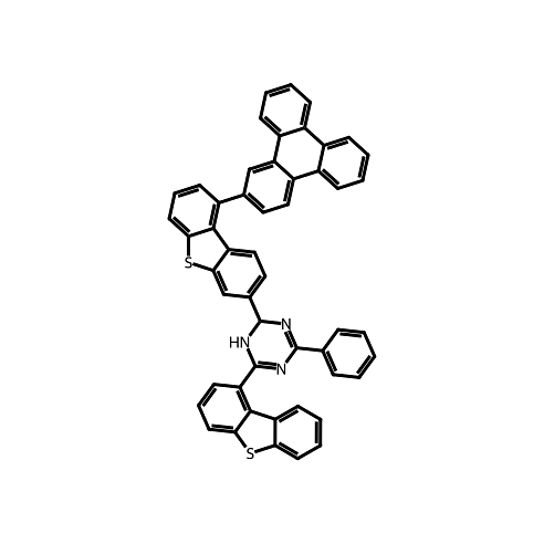 c1ccc(C2=NC(c3ccc4c(c3)sc3cccc(-c5ccc6c7ccccc7c7ccccc7c6c5)c34)NC(c3cccc4sc5ccccc5c34)=N2)cc1